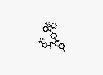 CNC1CCN(C(=O)NC(Cc2cccc(F)c2)C(=O)N2CCC(N3C(=O)C(C)(C)c4ccccc43)CC2)C1